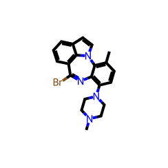 Cc1ccc(N2CCN(C)CC2)c2c1-n1ccc3cccc(c31)C(Br)=N2